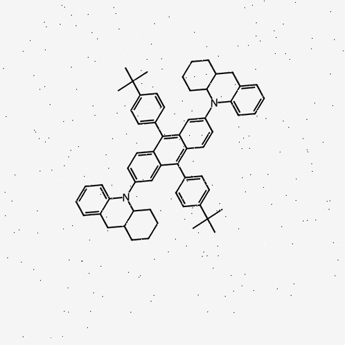 CC(C)(C)c1ccc(-c2c3ccc(N4c5ccccc5CC5CCCCC54)cc3c(-c3ccc(C(C)(C)C)cc3)c3ccc(N4c5ccccc5CC5CCCCC54)cc23)cc1